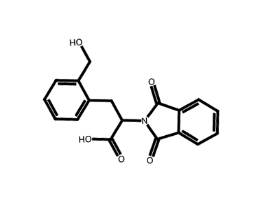 O=C(O)C(Cc1ccccc1CO)N1C(=O)c2ccccc2C1=O